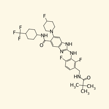 CC(C)(C)C(=O)NCc1ccc(F)c(Nc2nc3cc(C(=O)NC4CCC(C(F)(F)F)CC4)c(N4CCC(F)CC4)cc3[nH]2)c1F